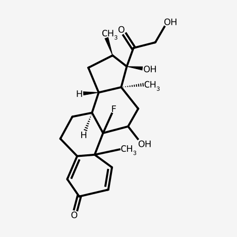 C[C@@H]1C[C@H]2[C@@H]3CCC4=CC(=O)C=CC4(C)C3(F)C(O)C[C@]2(C)[C@@]1(O)C(=O)CO